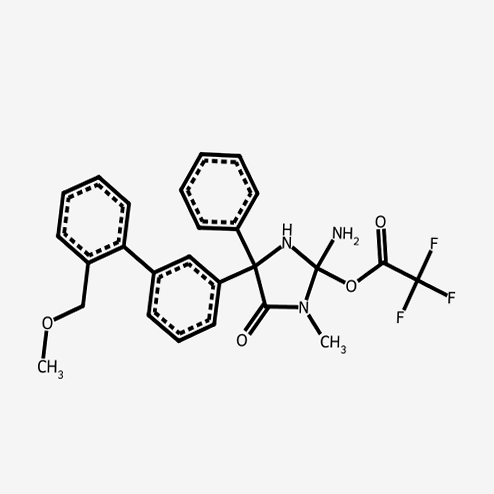 COCc1ccccc1-c1cccc(C2(c3ccccc3)NC(N)(OC(=O)C(F)(F)F)N(C)C2=O)c1